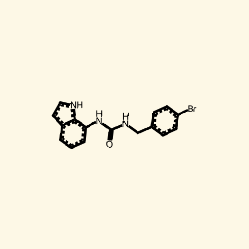 O=C(NCc1ccc(Br)cc1)Nc1cccc2cc[nH]c12